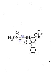 CN/C=C\C(=C/C=O)NC(=O)c1cc(OC(F)(F)F)ccc1OC1CCCCC1